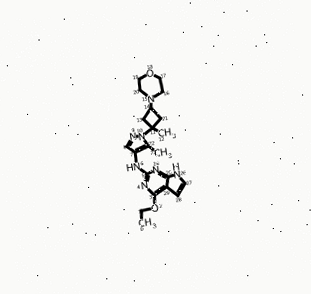 CCOc1nc(Nc2cnn(C3(C)CC(N4CCOCC4)C3)c2C)nc2[nH]ccc12